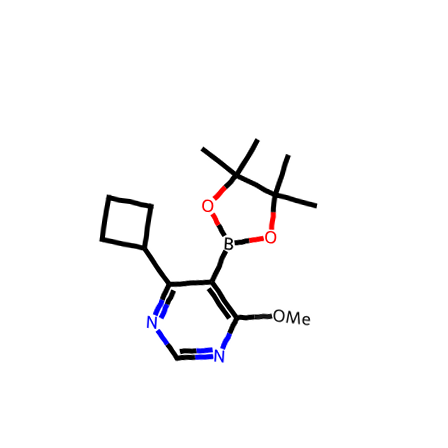 COc1ncnc(C2CCC2)c1B1OC(C)(C)C(C)(C)O1